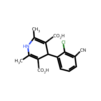 CC1=C(C(=O)O)C(c2cccc(C#N)c2Cl)C(C(=O)O)=C(C)N1